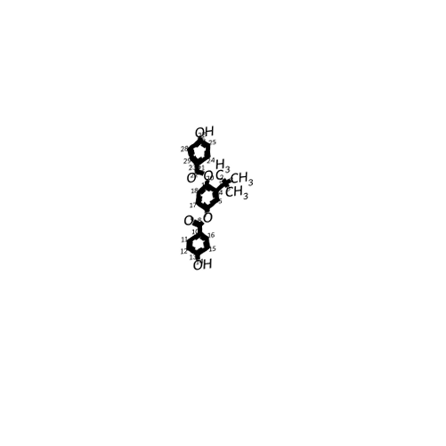 CC(C)(C)c1cc(OC(=O)c2ccc(O)cc2)ccc1OC(=O)c1ccc(O)cc1